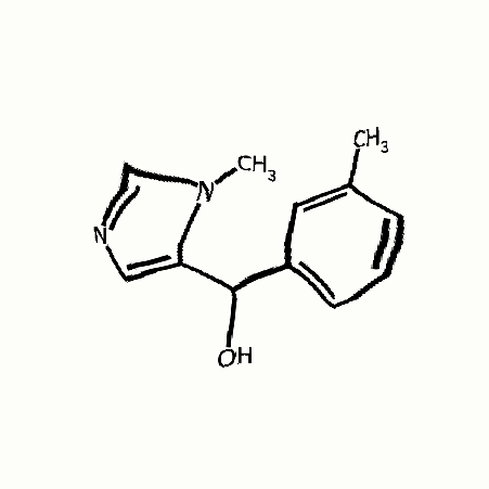 Cc1cccc(C(O)c2cncn2C)c1